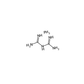 N=C(N)NC(=N)N.P